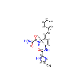 CC(C)(NC(=O)C(N)=O)C(/C=C\CNC(=O)c1nc(C#N)c[nH]1)=C/CC1=CCCCC1